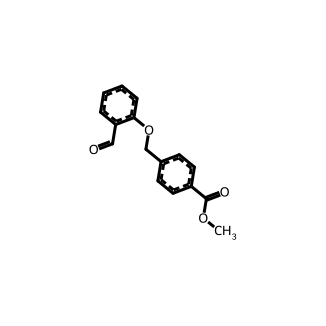 COC(=O)c1ccc(COc2ccccc2C=O)cc1